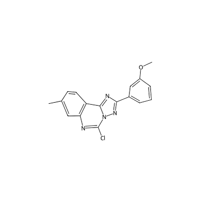 COc1cccc(-c2nc3c4ccc(C)cc4nc(Cl)n3n2)c1